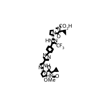 COC(=O)N[C@H](C(=O)N1CCC[C@H]1c1ncc(-c2cnc(-c3ccc(-c4[nH]c([C@@H]5CCCN5C(=O)[C@H](C5CC5)N(C)C(=O)O)nc4C(F)(F)F)cc3)nc2)[nH]1)C1CC1